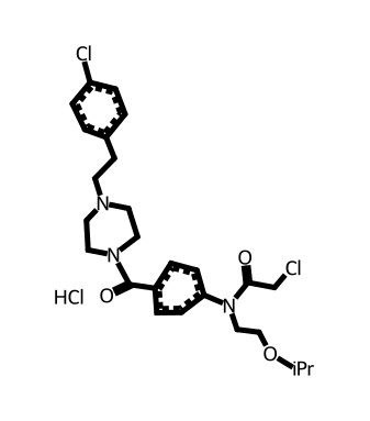 CC(C)OCCN(C(=O)CCl)c1ccc(C(=O)N2CCN(CCc3ccc(Cl)cc3)CC2)cc1.Cl